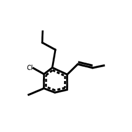 CC=Cc1ccc(C)c(Cl)c1CCC